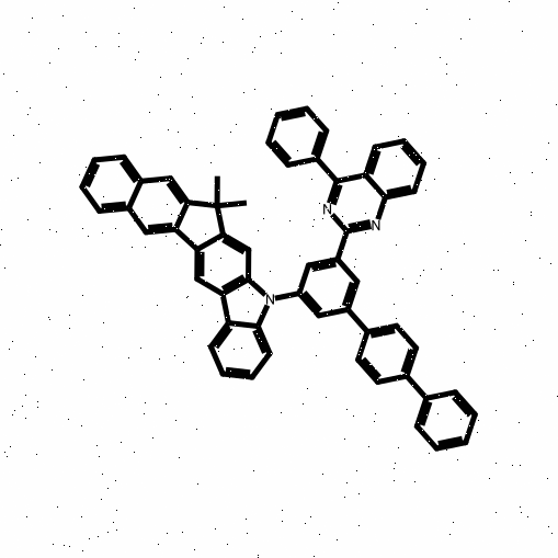 CC1(C)c2cc3ccccc3cc2-c2cc3c4ccccc4n(-c4cc(-c5ccc(-c6ccccc6)cc5)cc(-c5nc(-c6ccccc6)c6ccccc6n5)c4)c3cc21